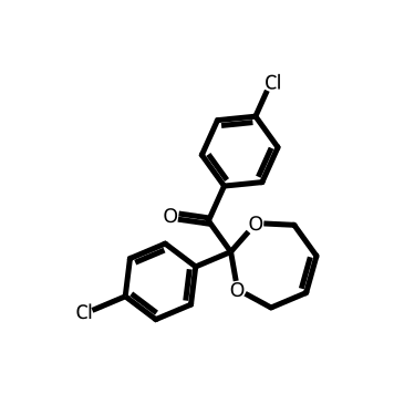 O=C(c1ccc(Cl)cc1)C1(c2ccc(Cl)cc2)OCC=CCO1